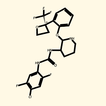 O=C(Nc1cc(F)c(Cl)cc1F)NC1CCCNC1Oc1ccccc1[C@@]1(C(F)(F)F)CCO1